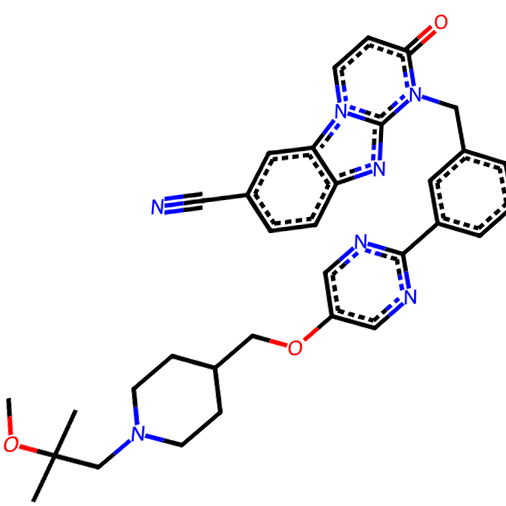 COC(C)(C)CN1CCC(COc2cnc(-c3cccc(Cn4c(=O)ccn5c6cc(C#N)ccc6nc45)c3)nc2)CC1